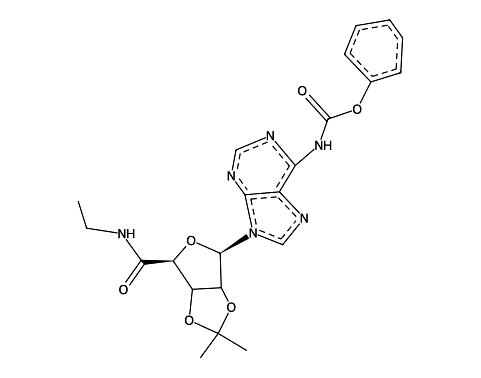 CCNC(=O)[C@H]1O[C@@H](n2cnc3c(NC(=O)Oc4ccccc4)ncnc32)C2OC(C)(C)OC21